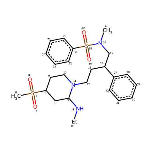 CCNC1CC(S(C)(=O)=O)CCN1CCC(CN(C)S(=O)(=O)c1ccccc1)c1ccccc1